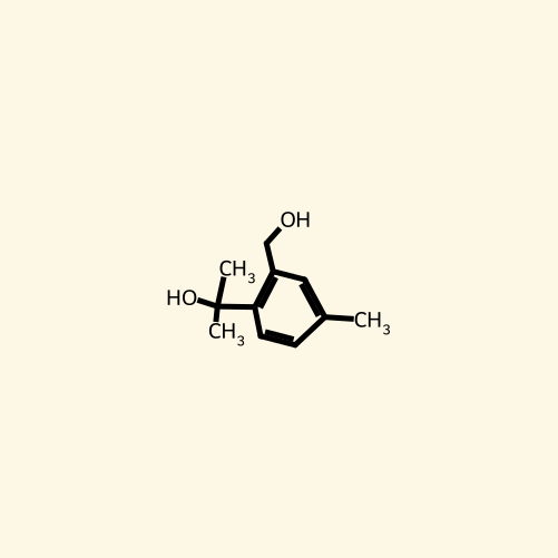 Cc1ccc(C(C)(C)O)c(CO)c1